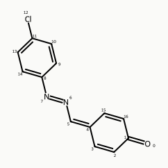 O=C1C=CC(=C/N=N/c2ccc(Cl)cc2)C=C1